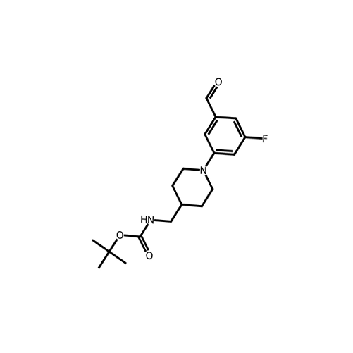 CC(C)(C)OC(=O)NCC1CCN(c2cc(F)cc(C=O)c2)CC1